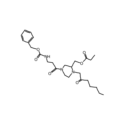 CCCCCC(=O)CN1CCN(C(=O)CCNC(=O)OCc2ccccc2)CC1COC(=O)CC